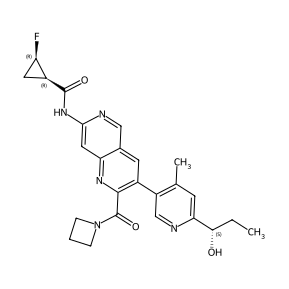 CC[C@H](O)c1cc(C)c(-c2cc3cnc(NC(=O)[C@H]4C[C@H]4F)cc3nc2C(=O)N2CCC2)cn1